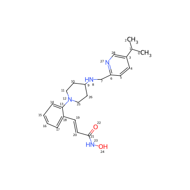 CC(C)c1ccc(CNC2CCN(c3ccccc3C=CC(=O)NO)CC2)nc1